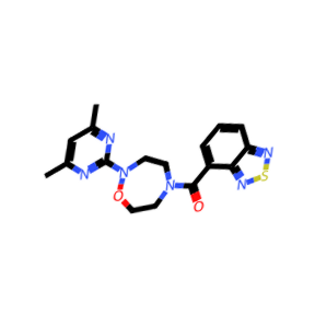 Cc1cc(C)nc(N2CCN(C(=O)c3cccc4nsnc34)CCO2)n1